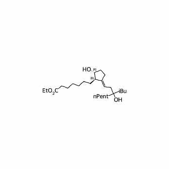 CCCCCC(O)(CC=C1CC[C@@H](O)[C@@H]1CCCCCCC(=O)OCC)C(C)CC